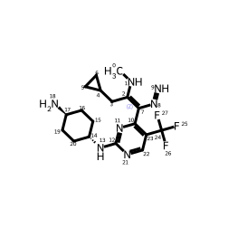 CN/C(CC1CC1)=C(\N=N)c1nc(N[C@H]2CC[C@H](N)CC2)ncc1C(F)(F)F